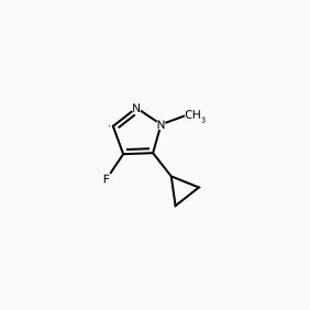 Cn1n[c]c(F)c1C1CC1